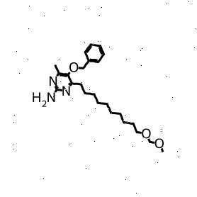 COCOCCCCCCCCCCc1nc(N)nc(C)c1OCc1ccccc1